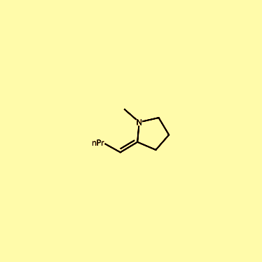 CCCC=C1CCCN1C